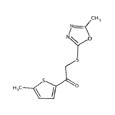 Cc1nnc(SCC(=O)c2ccc(C)s2)o1